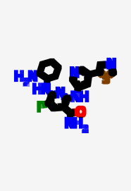 NC(=O)c1cc(F)c(NC2CCCC[C@@H]2N)nc1Nc1cncc(-c2cncs2)c1